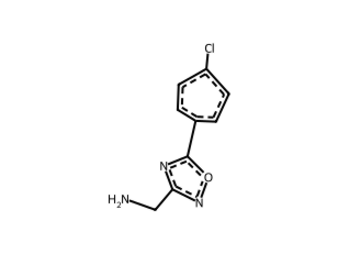 NCc1noc(-c2ccc(Cl)cc2)n1